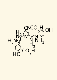 N#Cc1cc(/C(N)=C/N(N)c2ccc(O)c(C(=O)O)c2)nc(/C(N)=C/N(N)c2ccc(O)c(C(=O)O)c2)c1